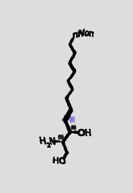 CCCCCCCCCCCCCCCC/C=C/[C@@H](O)[C@@H](N)CO